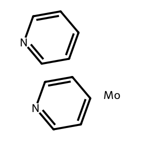 [Mo].c1ccncc1.c1ccncc1